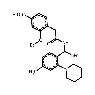 CCCC(NC(=O)Cc1ccc(C(=O)OCC)cc1OCC)c1ccc(C)cc1N1CCCCC1